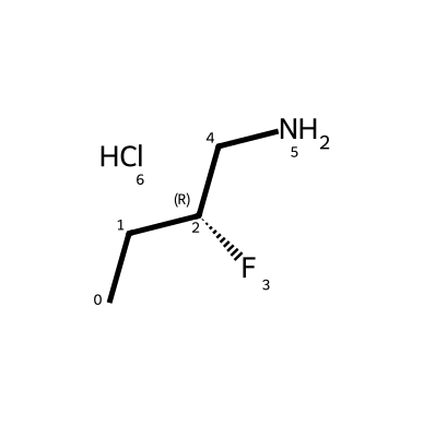 CC[C@@H](F)CN.Cl